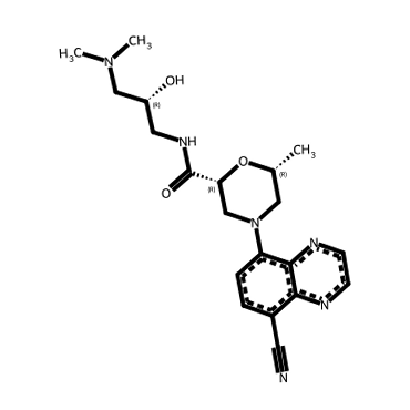 C[C@@H]1CN(c2ccc(C#N)c3nccnc23)C[C@H](C(=O)NC[C@@H](O)CN(C)C)O1